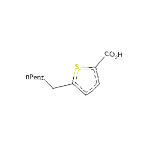 CCCCCCc1ccc(C(=O)O)s1